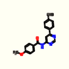 O=Cc1ccc(-c2cc(NC(=O)c3ccc(OC(F)(F)F)cc3)ncn2)cc1